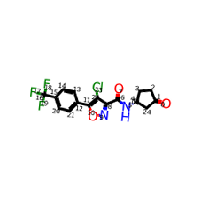 O=C1CC[C@@H](NC(=O)c2noc(-c3ccc(C(F)(F)F)cc3)c2Cl)C1